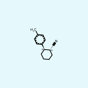 Cc1ccc([C@@H]2CCCC[C@H]2C#N)cc1